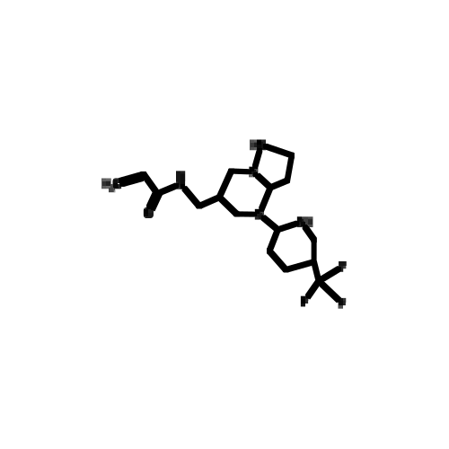 C=CC(=O)NCC1CN2NCCC2N(C2CCC(C(F)(F)F)CN2)C1